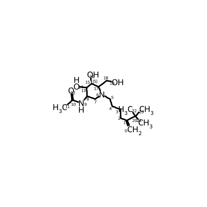 C=C(CCCCN1CC(NC(C)=O)C(O)[C@@H](O)C1CO)C(C)(C)C